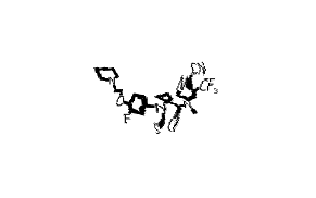 CN(C(=O)C1(N(C=S)c2ccc(OCCN3CCCC3)c(F)c2)CCC1)c1cnc(C#N)c(C(F)(F)F)c1